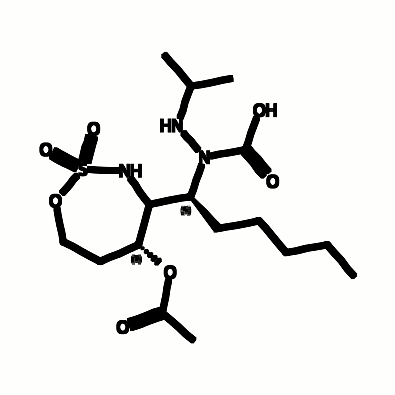 CCCCC[C@@H](C1NS(=O)(=O)OCC[C@H]1OC(C)=O)N(NC(C)C)C(=O)O